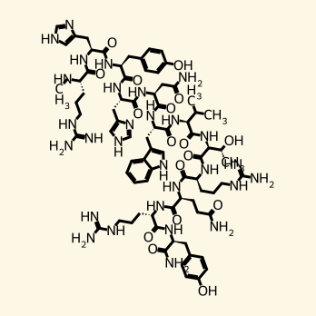 CN[C@@H](CCCNC(=N)N)C(=O)N[C@@H](Cc1c[nH]cn1)C(=O)N[C@@H](Cc1ccc(O)cc1)C(=O)N[C@@H](Cc1c[nH]cn1)C(=O)N[C@@H](CC(N)=O)C(=O)N[C@@H](Cc1c[nH]c2ccccc12)C(=O)N[C@H](C(=O)N[C@H](C(=O)N[C@@H](CCCNC(=N)N)C(=O)N[C@@H](CCC(N)=O)C(=O)N[C@@H](CCCNC(=N)N)C(=O)N[C@@H](Cc1ccc(O)cc1)C(N)=O)[C@@H](C)O)C(C)C